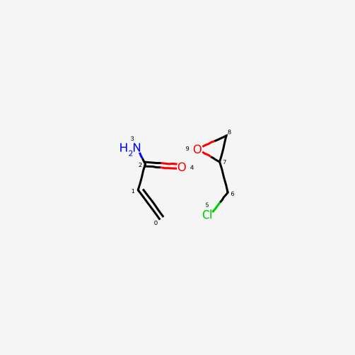 C=CC(N)=O.ClCC1CO1